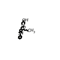 CCCCCC1c2nc(-c3ccccc3)sc2CC1CC(=O)N1CCC(O)CC1